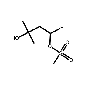 CCC(CC(C)(C)O)OS(C)(=O)=O